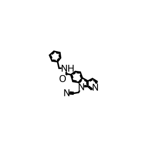 N#CCn1c2cnccc2c2ccc(C(=O)NCc3ccccc3)cc21